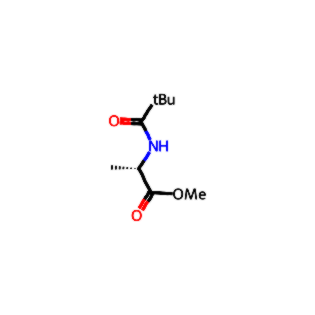 COC(=O)[C@H](C)NC(=O)C(C)(C)C